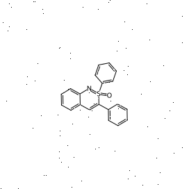 O=S1(c2ccccc2)=Nc2ccccc2C=C1c1ccccc1